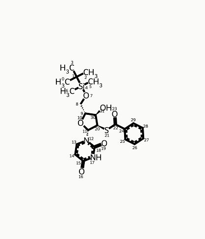 CC(C)(C)[Si](C)(C)OC[C@H]1O[C@@H](n2ccc(=O)[nH]c2=O)[C@H](SC(=O)c2ccccc2)[C@@H]1O